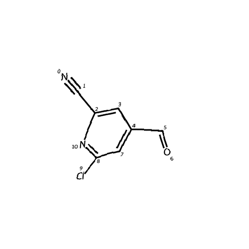 N#Cc1cc(C=O)cc(Cl)n1